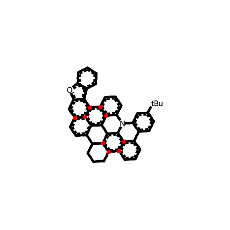 CC(C)(C)c1ccc(-c2ccccc2)c(N(c2cccc(-c3cccc4oc5ccccc5c34)c2)c2ccccc2-c2cccc3cccc(C4CCCCC4)c23)c1